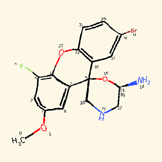 COc1cc(F)c2c(c1)C1(CNC[C@H](N)O1)c1cc(Br)ccc1O2